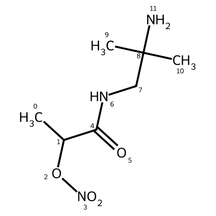 CC(O[N+](=O)[O-])C(=O)NCC(C)(C)N